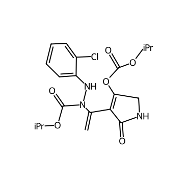 C=C(C1=C(OC(=O)OC(C)C)CNC1=O)N(Nc1ccccc1Cl)C(=O)OC(C)C